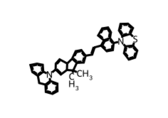 CC1(C)c2cc(/C=C/c3ccc(N4c5ccccc5Sc5ccccc54)c4ccccc34)ccc2C2C=CC(N3c4ccccc4Cc4ccccc43)=CC21